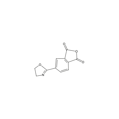 O=C1OC(=O)c2cc(C3=NCCO3)ccc21